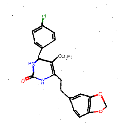 CCOC(=O)C1=C(CCc2ccc3c(c2)OCO3)NC(=O)NC1c1ccc(Cl)cc1